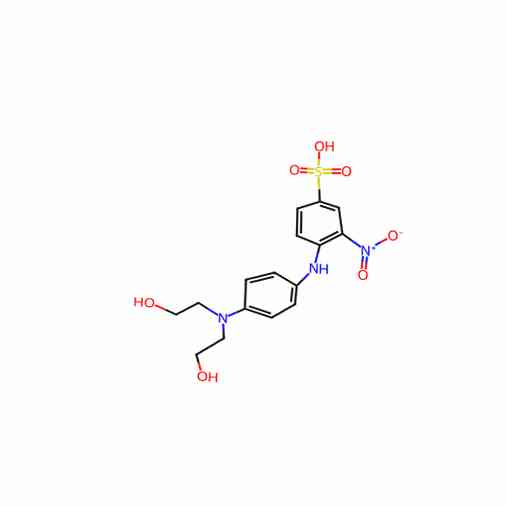 O=[N+]([O-])c1cc(S(=O)(=O)O)ccc1Nc1ccc(N(CCO)CCO)cc1